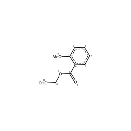 COc1ccccc1C(=O)OCC=O